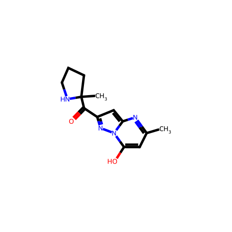 Cc1cc(O)n2nc(C(=O)C3(C)CCCN3)cc2n1